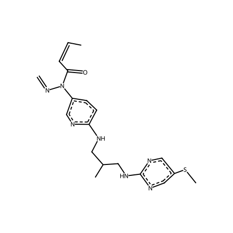 C=NN(C(=O)/C=C\C)c1ccc(NCC(C)CNc2ncc(SC)cn2)nc1